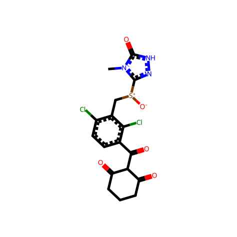 Cn1c([S+]([O-])Cc2c(Cl)ccc(C(=O)C3C(=O)CCCC3=O)c2Cl)n[nH]c1=O